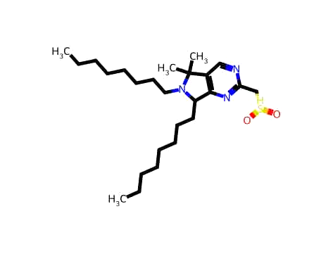 CCCCCCCCC1c2nc(C[SH](=O)=O)ncc2C(C)(C)N1CCCCCCCC